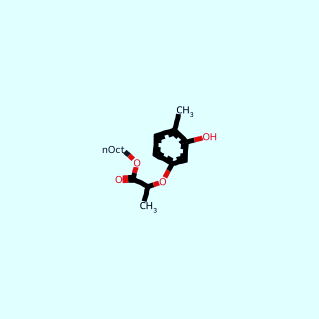 CCCCCCCCOC(=O)C(C)Oc1ccc(C)c(O)c1